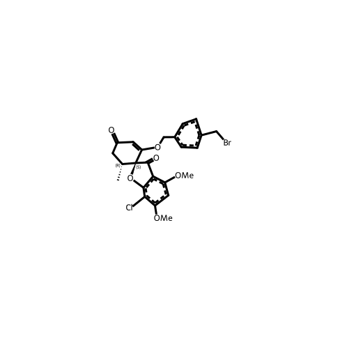 COc1cc(OC)c2c(c1Cl)O[C@]1(C2=O)C(OCc2ccc(CBr)cc2)=CC(=O)C[C@H]1C